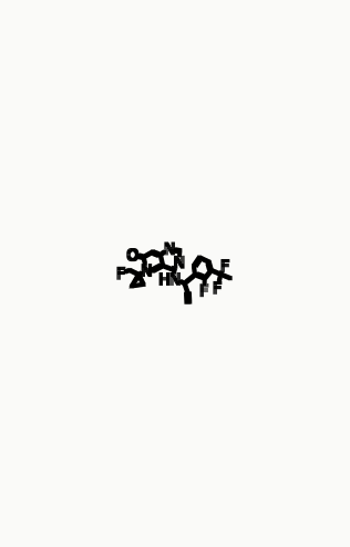 C#CC(Nc1ncnc2cc(=O)n(C3(CF)CC3)cc12)c1cccc(C(C)(F)F)c1F